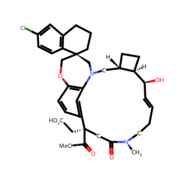 COC(=O)[C@]1(CC(=O)O)CC(=O)N(C)CC/C=C/[C@H](O)[C@@H]2CC[C@H]2CN2C[C@@]3(CCCc4cc(Cl)ccc43)COc3ccc1cc32